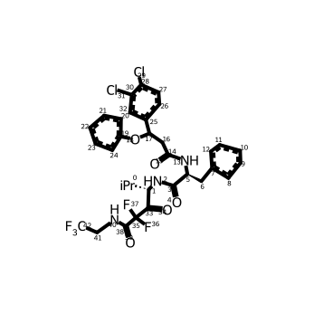 CC(C)[C@H](NC(=O)[C@H](Cc1ccccc1)NC(=O)CC(Oc1ccccc1)c1ccc(Cl)c(Cl)c1)C(=O)C(F)(F)C(=O)NCC(F)(F)F